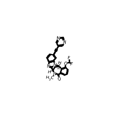 CN1C(=O)c2cccc(OC(F)F)c2[C@H]2C[C@@H]1c1nc3ccc(C#Cc4cncnc4)cc3n12